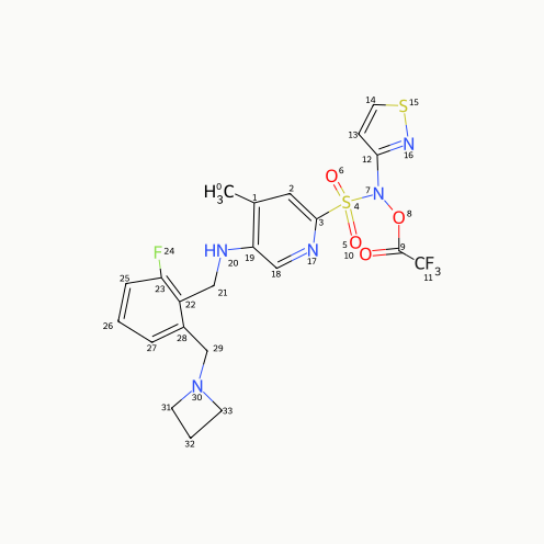 Cc1cc(S(=O)(=O)N(OC(=O)C(F)(F)F)c2ccsn2)ncc1NCc1c(F)cccc1CN1CCC1